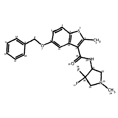 Cc1sc2ccc(OCc3ccccc3)cc2c1C(=O)NC1CN(C)CC1(F)F